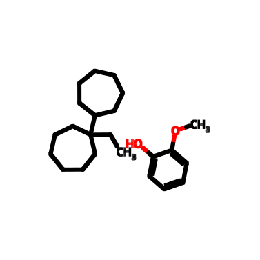 CCC1(C2CCCCCC2)CCCCCC1.COc1ccccc1O